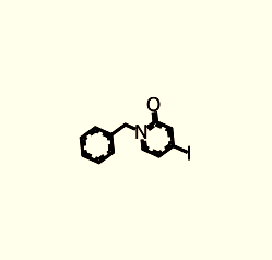 O=c1cc(I)ccn1Cc1ccccc1